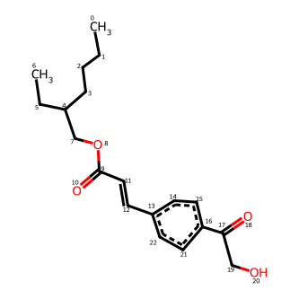 CCCCC(CC)COC(=O)C=Cc1ccc(C(=O)CO)cc1